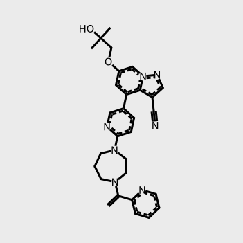 C=C(c1ccccn1)N1CCCN(c2ccc(-c3cc(OCC(C)(C)O)cn4ncc(C#N)c34)cn2)CC1